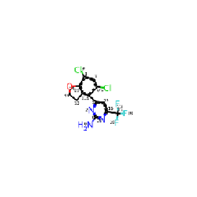 Nc1nc(-c2c(Cl)cc(Cl)c3c2CCO3)cc(C(F)(F)F)n1